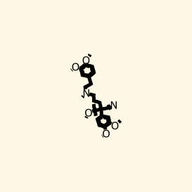 COc1ccc(CCN(C)CCCC(C#N)(c2ccc(OC)c(OC)c2)C(C)(C)OC)cc1OC